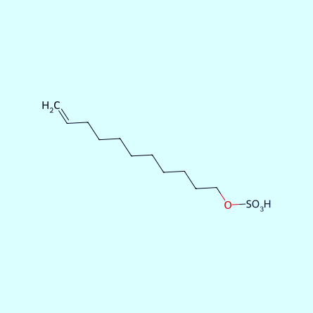 C=CCCCCCCCCCOS(=O)(=O)O